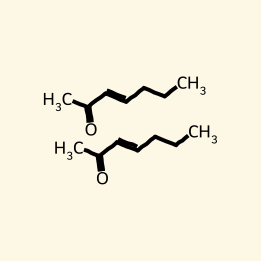 CCCC=CC(C)=O.CCCC=CC(C)=O